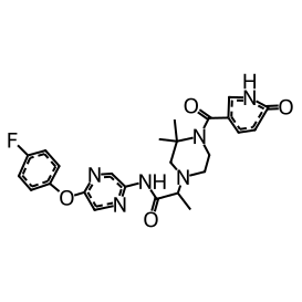 CC(C(=O)Nc1cnc(Oc2ccc(F)cc2)cn1)N1CCN(C(=O)c2ccc(=O)[nH]c2)C(C)(C)C1